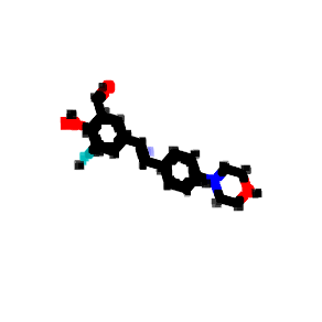 O=Cc1cc(/C=C/c2ccc(N3CCOCC3)cc2)cc(F)c1O